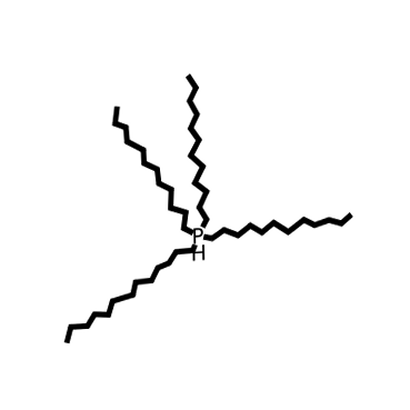 CCCCCCCCCCCCC[PH](CCCCCCCCCCCC)(CCCCCCCCCCCC)CCCCCCCCCCCC